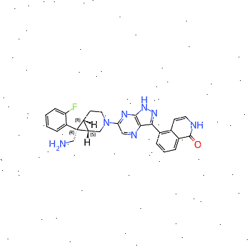 NC[C@]1(c2ccccc2F)[C@@H]2CCN(c3cnc4c(-c5cccc6c(=O)[nH]ccc56)n[nH]c4n3)C[C@@H]21